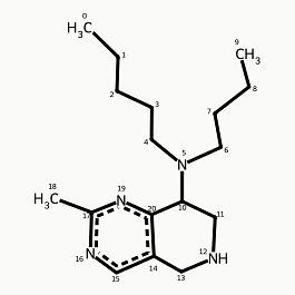 CCCCCN(CCCC)C1CNCc2cnc(C)nc21